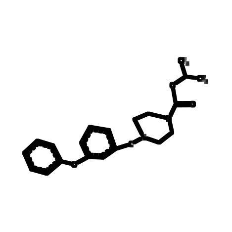 O=C(OC(C(F)(F)F)C(F)(F)F)N1CCN(Cc2cccc(Oc3ccccc3)c2)CC1